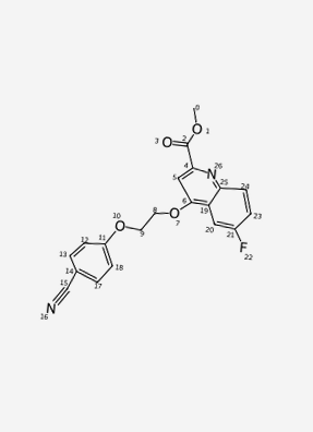 COC(=O)c1cc(OCCOc2ccc(C#N)cc2)c2cc(F)ccc2n1